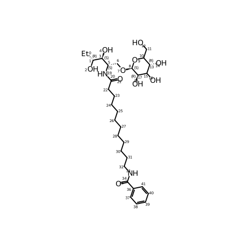 CC[C@@H](O)[C@@H](O)[C@H](CO[C@H]1OC(CO)[C@H](O)C(O)[C@H]1O)NC(=O)CCCCCCCCCCCNC(=O)c1ccccc1